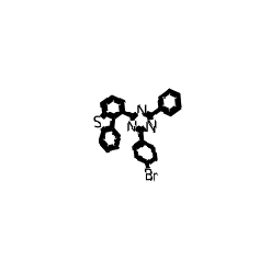 BrC1=CC=C(c2nc(-c3ccccc3)nc(-c3cccc4sc5ccccc5c34)n2)CC1